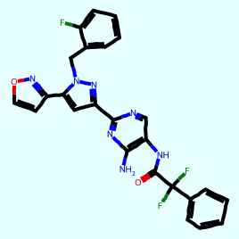 Nc1nc(-c2cc(-c3ccon3)n(Cc3ccccc3F)n2)ncc1NC(=O)C(F)(F)c1ccccc1